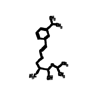 CC(C)OC(O)[C@@H](C)CC/C=C/c1cccc(C(C)C)c1